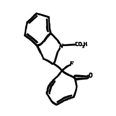 O=C(O)N1c2ccccc2CC1C1(F)C=CC=CC1=O